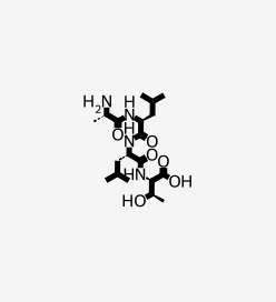 CC(C)C[C@H](NC(=O)[C@H](C)N)C(=O)N[C@@H](CC(C)C)C(=O)N[C@H](C(=O)O)[C@@H](C)O